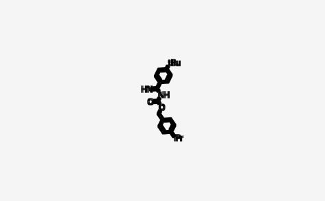 CC(C)c1ccc(COC(=O)NC(=N)c2ccc(C(C)(C)C)cc2)cc1